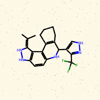 CC(C)=C1NNc2ccc3c(c21)C1=C(CCCC1)C(c1c[nH]nc1C(F)(F)F)N3